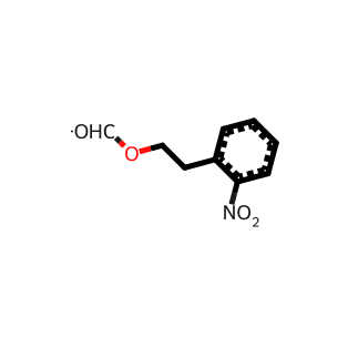 O=[C]OCCc1ccccc1[N+](=O)[O-]